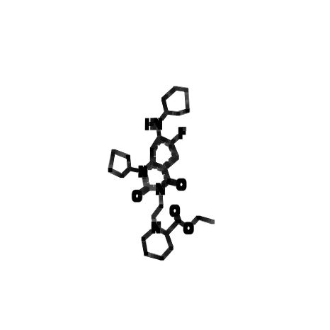 CCOC(=O)C1CCCCN1CCn1c(=O)c2cc(F)c(NC3CCCCC3)cc2n(C2CCCC2)c1=O